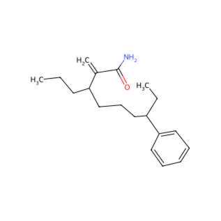 C=C(C(N)=O)C(CCC)CCCC(CC)c1ccccc1